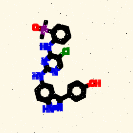 CP(C)(=O)c1ccccc1Nc1nc(Nc2ccc3[nH]nc(-c4ccc(O)cc4)c3c2)ncc1Cl